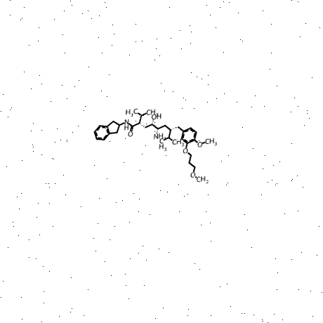 COCCCOc1cc(C[C@@H](C[C@H](N)[C@@H](O)C[C@H](C(=O)NC2Cc3ccccc3C2)C(C)C)C(C)C)ccc1OC